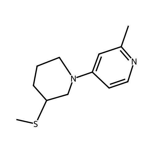 CSC1CCCN(c2ccnc(C)c2)C1